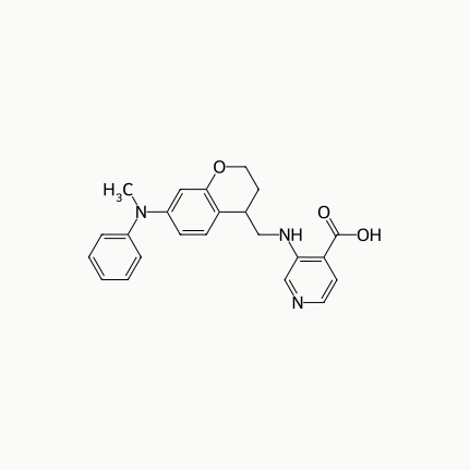 CN(c1ccccc1)c1ccc2c(c1)OCCC2CNc1cnccc1C(=O)O